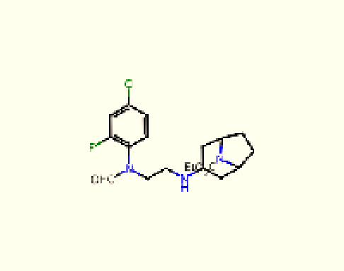 CCOC(=O)N1C2CCC1CC(NCCN(C=O)c1ccc(Cl)cc1F)C2